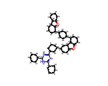 c1ccc(C2=NC(c3cccc(-c4ccc5oc6cccc(-c7ccc(-c8cccc9c8oc8ccccc89)cc7)c6c5c4)c3)=NC(c3ccccc3)N2)cc1